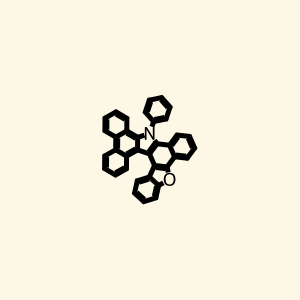 c1ccc(-n2c3c4ccccc4c4ccccc4c3c3c4c5ccccc5oc4c4ccccc4c32)cc1